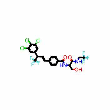 O=C(NC(CO)C(=O)NCC(F)(F)F)c1ccc(/C=C/C(c2cc(Cl)c(Cl)c(Cl)c2)C(F)(F)F)cc1